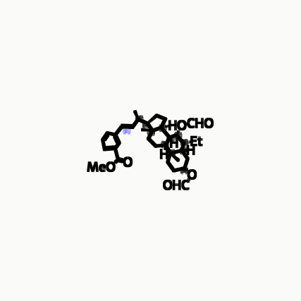 CC[C@H]1[C@@H](OC=O)[C@@H]2[C@H](CC[C@]3(C)[C@@H]([C@H](C)/C=C/c4cccc(C(=O)OC)c4)CC[C@@H]23)[C@@]2(C)CC[C@@H](OC=O)C[C@@H]12